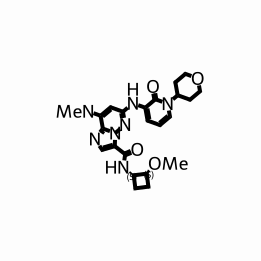 CNc1cc(Nc2cccn(C3CCOCC3)c2=O)nn2c(C(=O)N[C@H]3CC[C@@H]3OC)cnc12